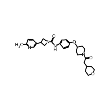 Cc1ccc(C2CN(C(=O)Nc3ccc(OC4CCN(C(=O)CC5CCOCC5)CC4)cc3)C2)cn1